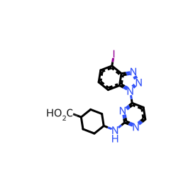 O=C(O)C1CCC(Nc2nccc(-n3nnc4c(I)cccc43)n2)CC1